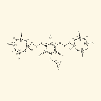 C[SiH]1O[SiH](C)O[Si](C)(CCCn2c(=O)n(CCC[Si]3(C)O[SiH](C)O[SiH](C)O[SiH](C)O3)c(=O)n(CC3CO3)c2=O)O[SiH](C)O1